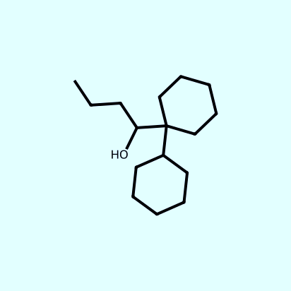 CCCC(O)C1(C2CCCCC2)CCCCC1